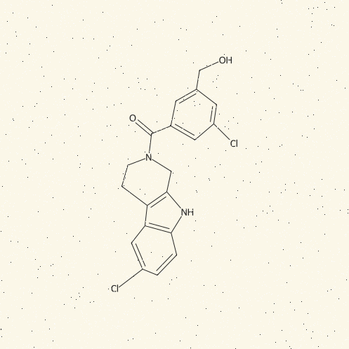 O=C(c1cc(Cl)cc(CO)c1)N1CCc2c([nH]c3ccc(Cl)cc23)C1